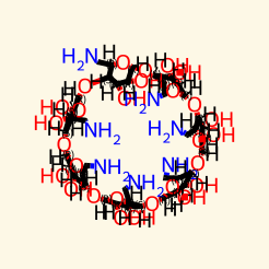 NC[C@H]1O[C@@H]2O[C@H]3[C@H](O)[C@@H](O)[C@@H](O[C@H]4[C@H](O)[C@@H](O)[C@@H](O[C@H]5[C@H](O)[C@@H](O)[C@@H](O[C@H]6[C@H](O)[C@@H](O)[C@@H](O[C@H]7[C@H](O)[C@@H](O)[C@@H](O[C@H]8[C@H](O)[C@@H](O)[C@@H](O[C@H]1[C@H](O)[C@H]2O)O[C@@H]8CN)O[C@@H]7CN)O[C@@H]6CN)O[C@@H]5CN)O[C@@H]4CN)O[C@@H]3CN